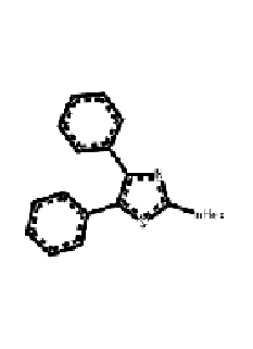 [CH2]CCCCCc1nc(-c2ccccc2)c(-c2ccccc2)s1